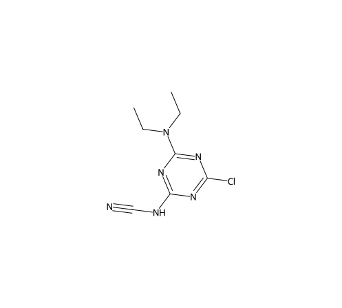 CCN(CC)c1nc(Cl)nc(NC#N)n1